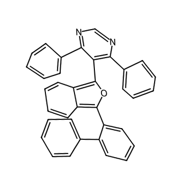 c1ccc(-c2ccccc2-c2oc(-c3c(-c4ccccc4)ncnc3-c3ccccc3)c3ccccc23)cc1